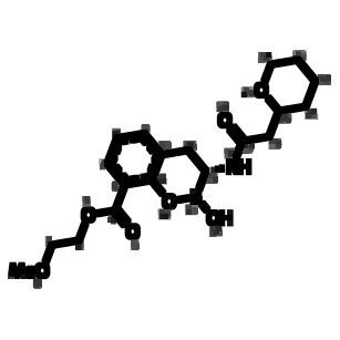 COCCOC(=O)c1cccc2c1OB(O)[C@@H](NC(=O)CC1CCCCO1)C2